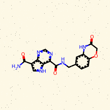 NC(=O)c1c[nH]c2c(C(=O)NCc3ccc4c(c3)NC(=O)CO4)ncnc12